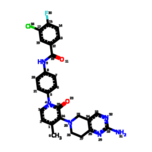 Cc1ccn(-c2ccc(NC(=O)c3ccc(F)c(Cl)c3)cc2)c(=O)c1N1CCc2nc(N)ncc2C1